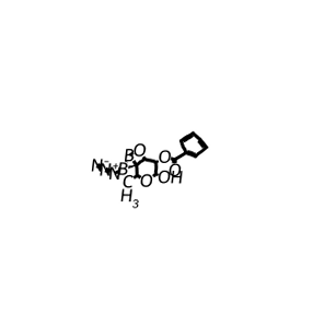 CC1O[C@H](O)[C@H](OC(=O)c2ccccc2)C2OB3B(N=[N+]=[N-])[C@]312